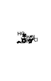 C=CC[C@H]1C[C@@H](n2ccc3c(Cl)ncnc32)[C@H](OC(C)(C)O)[C@@H]1C